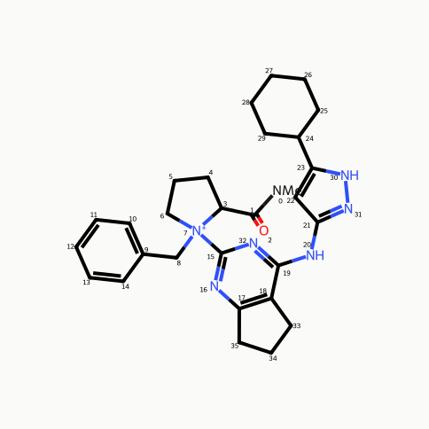 CNC(=O)C1CCC[N+]1(Cc1ccccc1)c1nc2c(c(Nc3cc(C4CCCCC4)[nH]n3)n1)CCC2